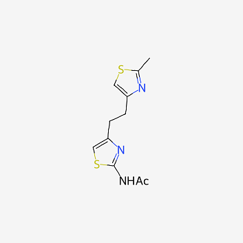 CC(=O)Nc1nc(CCc2csc(C)n2)cs1